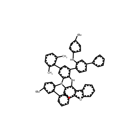 Cc1cccc(C)c1-c1cc(-c2ccc(-c3ccccc3)cc2Nc2ccc(C(C)(C)C)cc2)c2c(c1)N(c1ccc(C(C)(C)C)cc1-c1ccccc1)c1ccc3oc4ccccc4c3c1B2